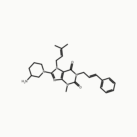 CC(C)=CCn1c(N2CCCC(N)C2)nc2c1c(=O)n(CC=Cc1ccccc1)c(=O)n2C